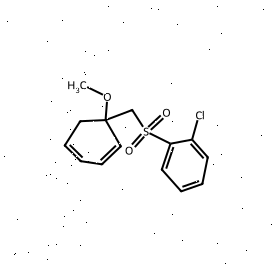 COC1(CS(=O)(=O)c2ccccc2Cl)C=CC=CC1